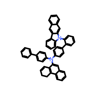 C1=Cc2c(N(c3ccc(-c4ccccc4)cc3)c3ccc(-c4ccccc4-n4c5ccccc5c5cc6ccccc6cc54)cc3)cc3ccccc3c2CC1